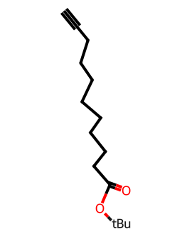 C#CCCCCCCCCC(=O)OC(C)(C)C